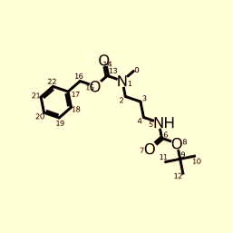 CN(CCCNC(=O)OC(C)(C)C)C(=O)OCc1ccccc1